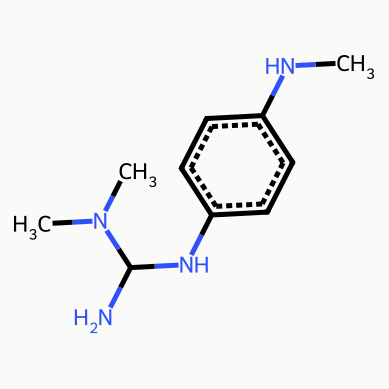 CNc1ccc(NC(N)N(C)C)cc1